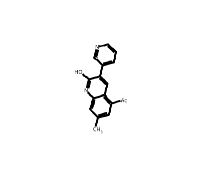 CC(=O)c1cc(C)cc2nc(O)c(-c3cccnc3)cc12